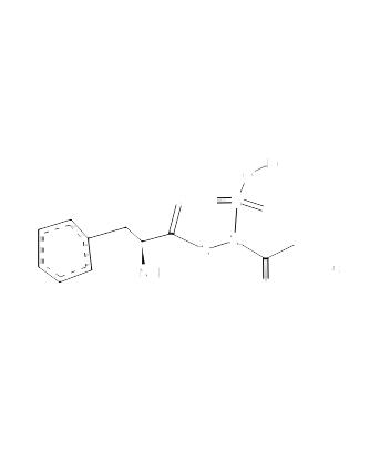 CCOS(=O)(=O)N(NC(=O)[C@@H](N)Cc1ccccc1)C(=O)C[C@@H](C)CC